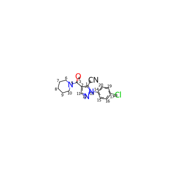 N#Cc1c(C(=O)N2CCCCC2)cnn1-c1ccc(Cl)cc1